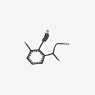 C[C](CO)c1cccc(I)c1C#N